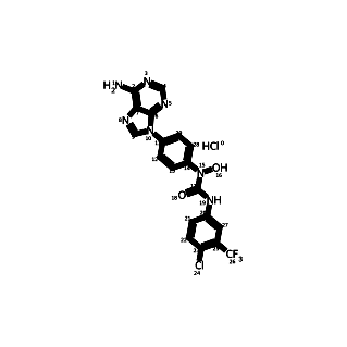 Cl.Nc1ncnc2c1ncn2-c1ccc(N(O)C(=O)Nc2ccc(Cl)c(C(F)(F)F)c2)cc1